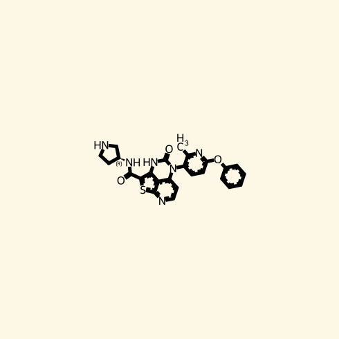 Cc1nc(Oc2ccccc2)ccc1N1C(=O)Nc2c(C(=O)N[C@@H]3CCNC3)sc3nccc1c23